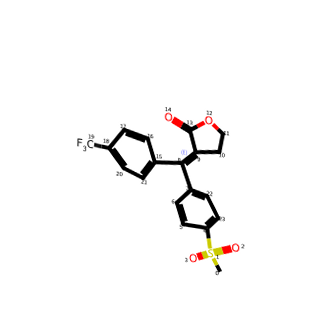 CS(=O)(=O)c1ccc(/C(=C2\CCOC2=O)c2ccc(C(F)(F)F)cc2)cc1